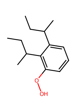 CCC(C)c1cccc(OO)c1C(C)CC